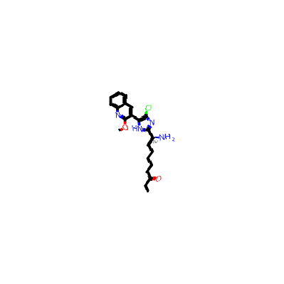 CCC(=O)CCCCC[C@H](N)c1nc(Cl)c(-c2cc3ccccc3nc2OC)[nH]1